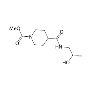 COC(=O)N1CCC(C(=O)NC[C@H](C)O)CC1